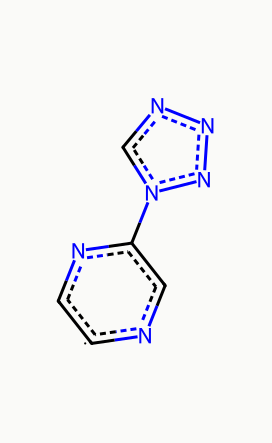 [c]1cnc(-n2cnnn2)cn1